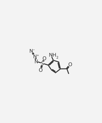 CC(=O)c1ccc(S(=O)(=O)N=[N+]=[N-])c(N)c1